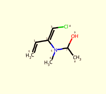 C=C/C(=C/Cl)N(C)C(C)O